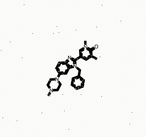 Cc1cc(-c2nc3ccc(N4CCN(C)CC4)cc3n2Cc2ccccc2)cn(C)c1=O